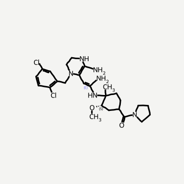 CO[C@H]1CC(C(=O)N2CCCC2)CCC1(C)N/C(N)=C/C1=C(N)NCCN1Cc1cc(Cl)ccc1Cl